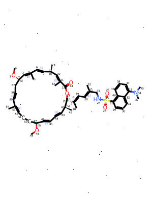 CO[C@@H]1/C=C(C)/C=C/[C@@H](C)/C=C(\C)C(=O)O[C@H](/C(C)=C/C=C(\C)CNS(=O)(=O)c2cccc3c(N(C)C)cccc23)[C@@H](C)/C=C/C=C/[C@@H](OC)CC/C=C(C)\C=C\C1